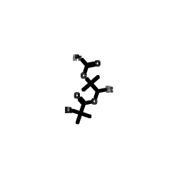 CCC(OC(=O)C(C)(C)CC)C(C)(C)OC(=O)C(C)C